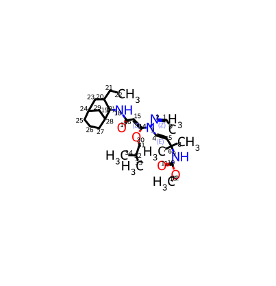 C/C=N\N(/C=C/C(C)(C)NC(=O)OC)/C(=C/C(=O)N[C@@H]1C(CC)CC2CCCC1C2)OCC(C)C